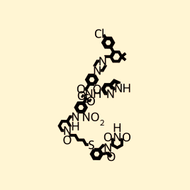 CC1(C)CCC(CN2CCN(c3ccc(C(=O)NS(=O)(=O)c4ccc(NCC5CCCN(C(=O)CCCCSc6cccc7c6CN(C6CCC(=O)NC6=O)C7=O)C5)c([N+](=O)[O-])c4)c(Oc4cnc5[nH]ccc5c4)c3)CC2)=C(c2ccc(Cl)cc2)C1